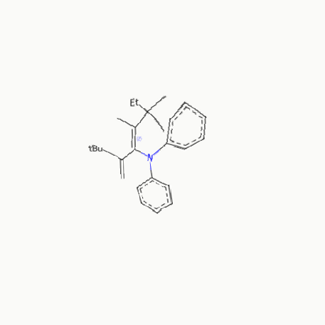 C=C(/C(=C(\C)C(C)(C)CC)N(c1ccccc1)c1ccccc1)C(C)(C)C